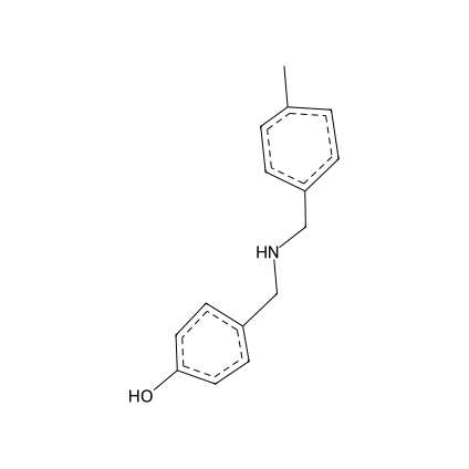 Cc1ccc(CNCc2ccc(O)cc2)cc1